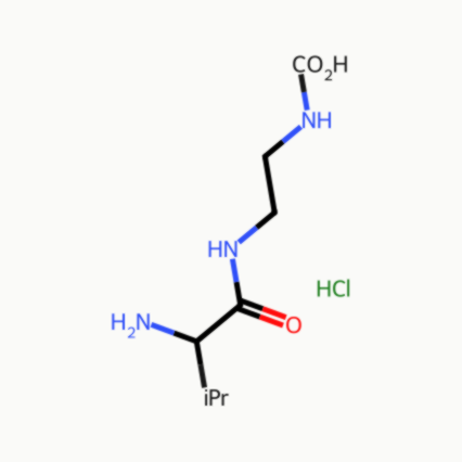 CC(C)C(N)C(=O)NCCNC(=O)O.Cl